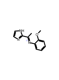 COc1ccccc1/N=C(\C)c1ncc[nH]1